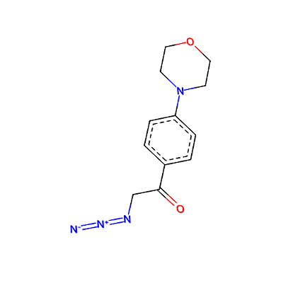 [N-]=[N+]=NCC(=O)c1ccc(N2CCOCC2)cc1